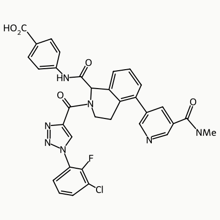 CNC(=O)c1cncc(-c2cccc3c2CCN(C(=O)c2cn(-c4cccc(Cl)c4F)nn2)C3C(=O)Nc2ccc(C(=O)O)cc2)c1